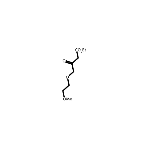 CCOC(=O)CC(=O)COCCOC